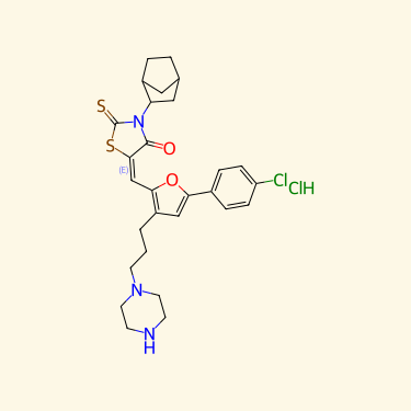 Cl.O=C1/C(=C\c2oc(-c3ccc(Cl)cc3)cc2CCCN2CCNCC2)SC(=S)N1C1CC2CCC1C2